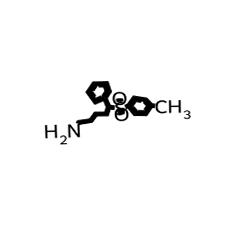 Cc1ccc(S(=O)(=O)C(CCCCN)c2ccccc2)cc1